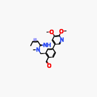 C/C=C\C(=N)N(C)Cc1cc(-c2cnc(OC)c(OC)c2)ccc1C=O